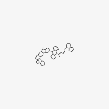 C/C(=C\C=C/Cc1cccc2ccccc12)c1c2ccccc2c(-c2ccc3c(c2)-c2cc4c(ccc5oc6ccccc6c54)cc2C3(C)C)c2ccccc12